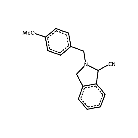 COc1ccc(CN2Cc3ccccc3C2C#N)cc1